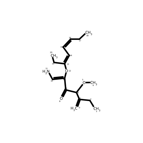 C=C(CC)C(OC)C(=O)/C(=C/N)O/C(=C/C=C\CC)CC